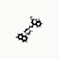 O=c1cc(CCN2CCN(c3cccc4ccccc34)CC2)c2ccccc2[nH]1